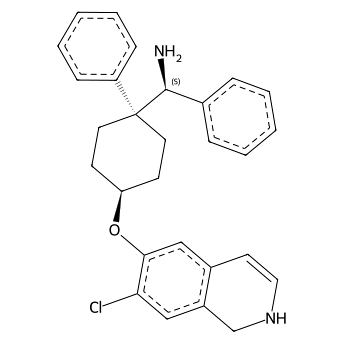 N[C@@H](c1ccccc1)[C@]1(c2ccccc2)CC[C@H](Oc2cc3c(cc2Cl)CNC=C3)CC1